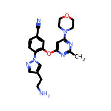 Cc1nc(Oc2cc(C#N)ccc2-n2cc(CCN)cn2)cc(N2CCOCC2)n1